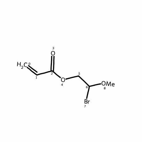 C=CC(=O)OCC(Br)OC